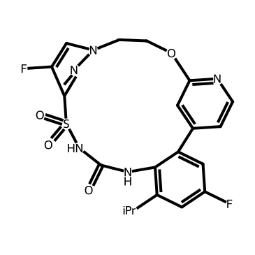 CC(C)c1cc(F)cc2c1NC(=O)NS(=O)(=O)c1nn(cc1F)CCOc1cc-2ccn1